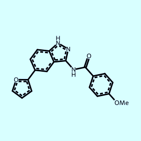 COc1ccc(C(=O)Nc2n[nH]c3ccc(-c4ccco4)cc23)cc1